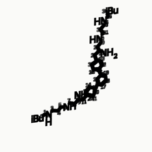 CCC(C)CNCCCNCCC(N)Cc1ccc(-c2cccc(-c3ccc(CC(N)CCNCCCNCC(C)CC)cc3)c2)cc1